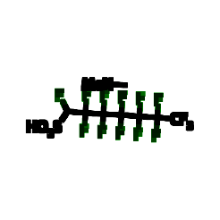 CNC.O=S(=O)(O)C(F)C(F)(F)C(F)(F)C(F)(F)C(F)(F)C(F)(F)C(F)(F)F